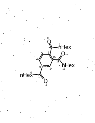 CCCCCCC(=O)c1ccc(C(=O)CCCCCC)c(C(=O)CCCCCC)c1